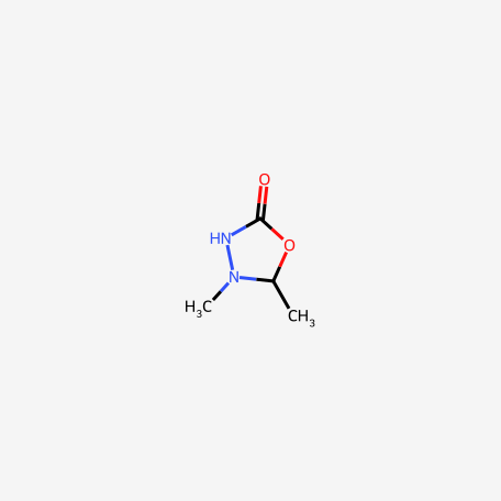 CC1OC(=O)NN1C